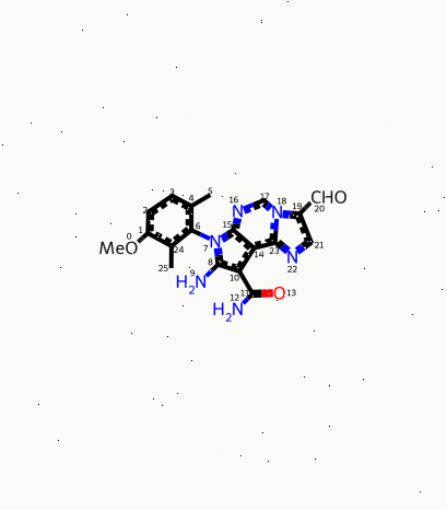 COc1ccc(C)c(-n2c(N)c(C(N)=O)c3c2ncn2c(C=O)cnc32)c1C